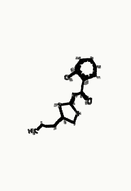 CCCC1C[N]C(=NC(=O)c2ccccc2Cl)S1